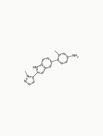 Cc1cc(N)ccc1-c1ccc2[nH]c(-c3ccnn3C)cc2c1